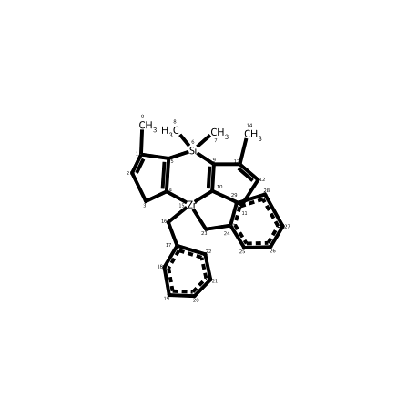 CC1=CC[C]2=C1[Si](C)(C)C1=[C](CC=C1C)[Zr]2([CH2]c1ccccc1)[CH2]c1ccccc1